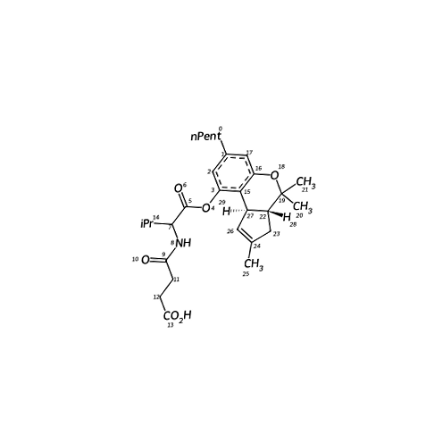 CCCCCc1cc(OC(=O)C(NC(=O)CCC(=O)O)C(C)C)c2c(c1)OC(C)(C)[C@@H]1CC(C)=C[C@@H]21